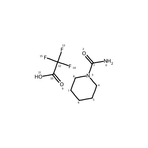 NC(=O)N1CCCCC1.O=C(O)C(F)(F)F